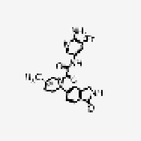 CCc1cc(NC(=O)C(=O)N2C[C@@H](C)CCC2c2ccc3c(c2)CNC3=O)cnc1N